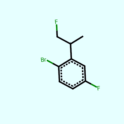 C[C](CF)c1cc(F)ccc1Br